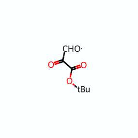 CC(C)(C)OC(=O)C(=O)[C]=O